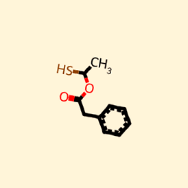 CC(S)OC(=O)Cc1ccccc1